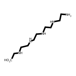 NCCNCCNCCNCCNCC(=O)O